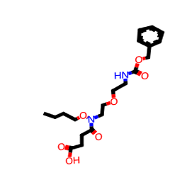 CCCCON(CCOCCNC(=O)OCc1ccccc1)C(=O)CCC(=O)O